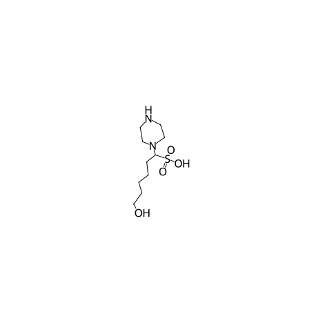 O=S(=O)(O)C(CCCCCO)N1CCNCC1